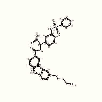 CCCCCc1cnc2[nH]c3ccc(C(=O)CC(C(=O)O)c4cccc(NS(=O)(=O)c5ccccc5)c4)cc3c2c1